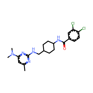 Cc1cc(N(C)C)nc(NCC2CCC(NC(=O)c3ccc(Cl)c(Cl)c3)CC2)n1